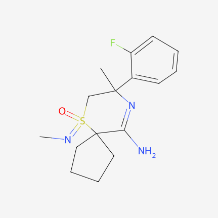 CN=S1(=O)CC(C)(c2ccccc2F)N=C(N)C12CCCC2